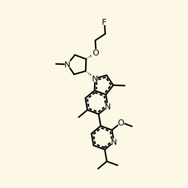 COc1nc(C(C)C)ccc1-c1nc2c(C)cn([C@@H]3CN(C)C[C@@H]3OCCF)c2cc1C